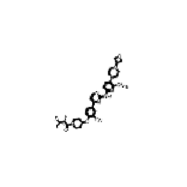 COc1nc(Nc2nccc(-c3ccc(OC4CCN(C(=O)[C@H](F)C(F)F)CC4)c(C#N)c3)n2)ccc1N1CCN(C2COC2)CC1